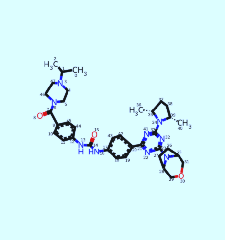 CC(C)N1CCN(C(=O)c2ccc(NC(=O)Nc3ccc(-c4nc(N5C6CCC5COC6)nc(N5[C@H](C)CC[C@@H]5C)n4)cc3)cc2)CC1